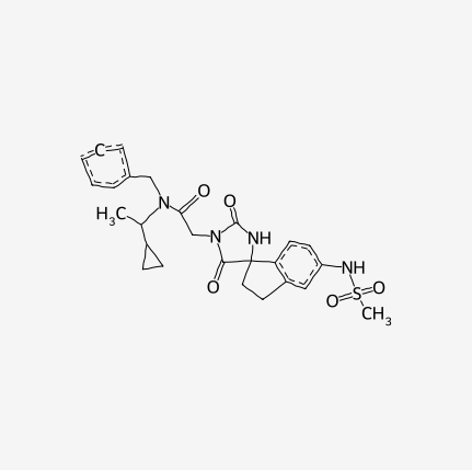 CC(C1CC1)N(Cc1ccccc1)C(=O)CN1C(=O)NC2(CCc3cc(NS(C)(=O)=O)ccc32)C1=O